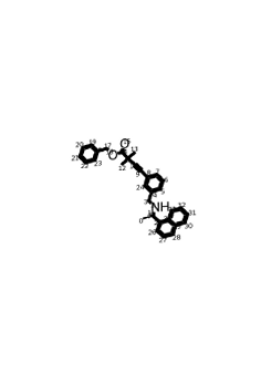 C[C@@H](NCc1cccc(C#CC(C)(C)C(=O)OCc2ccccc2)c1)c1cccc2ccccc12